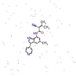 CC(C)=C(C#N)C(=O)Nc1cc(C)cc2c(-c3ccncc3)c[nH]c12